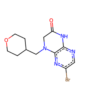 O=C1CN(CC2CCOCC2)c2nc(Br)cnc2N1